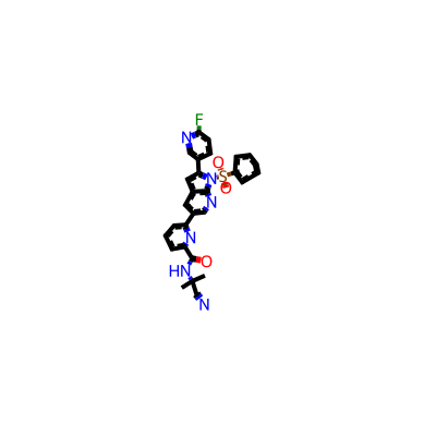 CC(C)(C#N)NC(=O)c1cccc(-c2cnc3c(c2)cc(-c2ccc(F)nc2)n3S(=O)(=O)c2ccccc2)n1